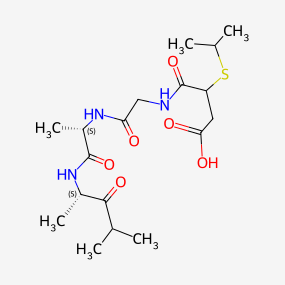 CC(C)SC(CC(=O)O)C(=O)NCC(=O)N[C@@H](C)C(=O)N[C@@H](C)C(=O)C(C)C